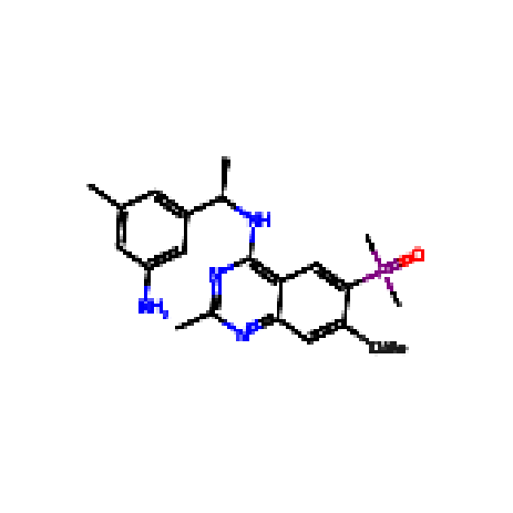 COc1cc2nc(C)nc(N[C@H](C)c3cc(C)cc(N)c3)c2cc1P(C)(C)=O